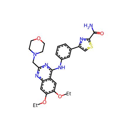 CCOc1cc2nc(CN3CCOCC3)nc(Nc3cccc(-c4csc(C(N)=O)n4)c3)c2cc1OCC